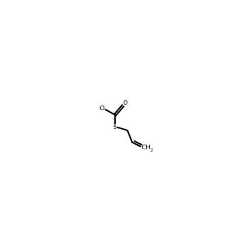 C=CCSC([O])=O